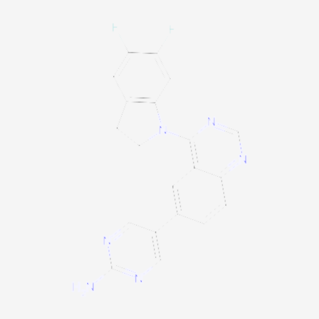 Nc1ncc(-c2ccc3ncnc(N4CCc5cc(F)c(F)cc54)c3c2)cn1